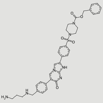 NCCCNCc1ccc(-c2cn3cc(-c4ccc(S(=O)(=O)N5CCN(C(=O)OCc6ccccc6)CC5)cc4)[nH]c3nc2=O)cc1